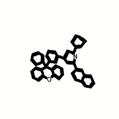 c1ccc(-c2cc(-c3cccc(C4(c5ccccc5)c5ccccc5Oc5ccccc54)c3)cc(-c3ccc4ccccc4c3)n2)cc1